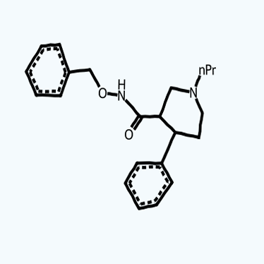 CCCN1CCC(c2ccccc2)C(C(=O)NOCc2ccccc2)C1